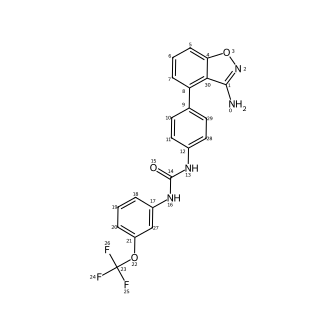 Nc1noc2cccc(-c3ccc(NC(=O)Nc4cccc(OC(F)(F)F)c4)cc3)c12